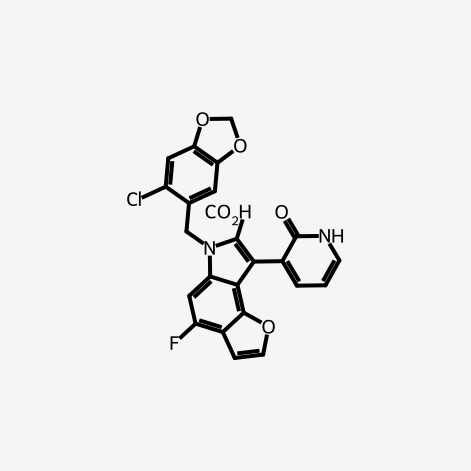 O=C(O)c1c(-c2ccc[nH]c2=O)c2c3occc3c(F)cc2n1Cc1cc2c(cc1Cl)OCO2